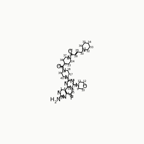 Nc1ncc(-c2nc(N3CCOCC3)nc(N3CCN(C(=O)C4CCN(C(=O)/C=C/CN5CCCCC5)CC4)CC3)n2)c(C(F)F)n1